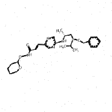 CC(C)N(CCc1ccccc1)C[C@@H](C)Nc1cnc(/C=C/C(=O)NOC2CCCCO2)cn1